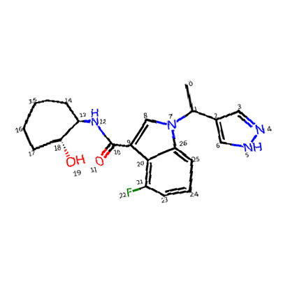 CC(c1cn[nH]c1)n1cc(C(=O)N[C@@H]2CCCC[C@H]2O)c2c(F)cccc21